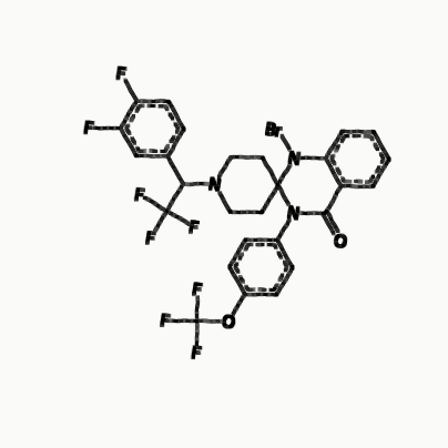 O=C1c2ccccc2N(Br)C2(CCN(C(c3ccc(F)c(F)c3)C(F)(F)F)CC2)N1c1ccc(OC(F)(F)F)cc1